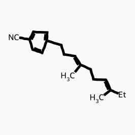 CC/C(C)=C/CC/C(C)=C/CCc1ccc(C#N)cc1